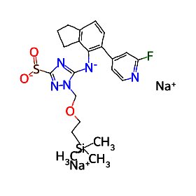 C[Si](C)(C)CCOCn1nc(S(=O)[O-])nc1[N-]c1c(-c2ccnc(F)c2)ccc2c1CCC2.[Na+].[Na+]